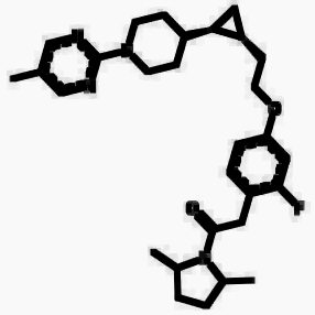 Cc1cnc(N2CCC([C@H]3C[C@H]3CCOc3ccc(CC(=O)N4C(C)CCC4C)c(F)c3)CC2)nc1